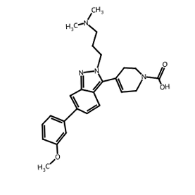 COc1cccc(-c2ccc3c(C4=CCN(C(=O)O)CC4)n(CCCN(C)C)nc3c2)c1